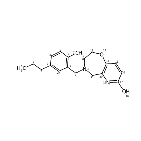 CCCc1ccc(C)c(CN2CCOc3ccc(O)nc3C2)c1